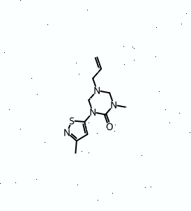 C=CCN1CN(C)C(=O)N(c2cc(C)ns2)C1